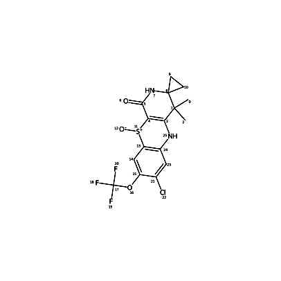 CC1(C)C2=C(C(=O)NC13CC3)[S+]([O-])c1cc(OC(F)(F)F)c(Cl)cc1N2